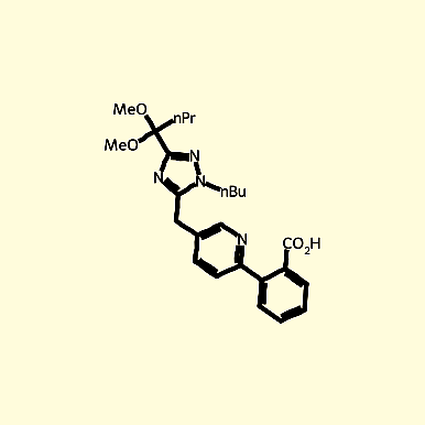 CCCCn1nc(C(CCC)(OC)OC)nc1Cc1ccc(-c2ccccc2C(=O)O)nc1